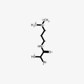 CC(C)C(S)C(=O)NCCCN(C)C